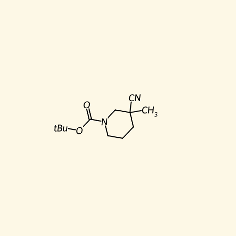 CC1(C#N)CCCN(C(=O)OC(C)(C)C)C1